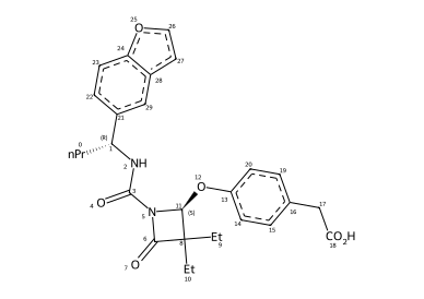 CCC[C@@H](NC(=O)N1C(=O)C(CC)(CC)[C@@H]1Oc1ccc(CC(=O)O)cc1)c1ccc2occc2c1